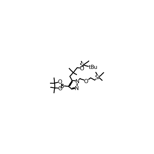 CC(C)(CO[Si](C)(C)C(C)(C)C)Cc1c(B2OC(C)(C)C(C)(C)O2)cnn1COCC[Si](C)(C)C